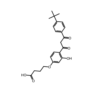 CC(C)(C)c1ccc(C(=O)CC(=O)c2ccc(OCCCC(=O)O)cc2O)cc1